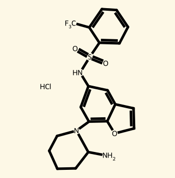 Cl.NC1CCCCN1c1cc(NS(=O)(=O)c2ccccc2C(F)(F)F)cc2ccoc12